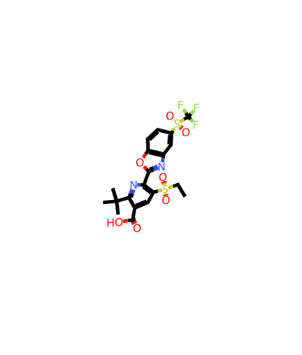 CCS(=O)(=O)c1cc(C(=O)O)c(C(C)(C)C)nc1-c1nc2cc(S(=O)(=O)C(F)(F)F)ccc2o1